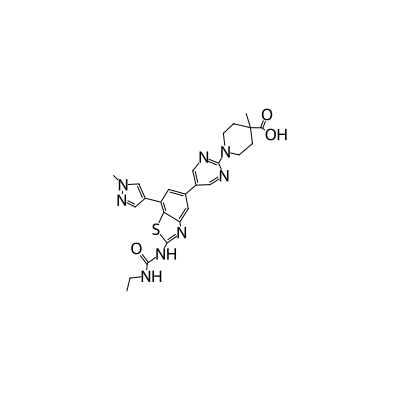 CCNC(=O)Nc1nc2cc(-c3cnc(N4CCC(C)(C(=O)O)CC4)nc3)cc(-c3cnn(C)c3)c2s1